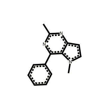 Cc1nc(-c2ccccc2)c2c(ccn2C)n1